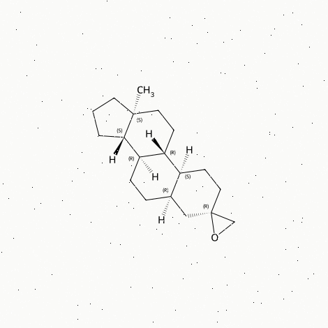 C[C@@]12CCC[C@H]1[C@@H]1CC[C@@H]3C[C@]4(CC[C@@H]3[C@H]1CC2)CO4